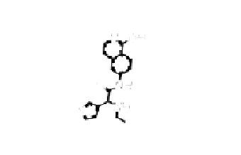 CCNC(C(=O)Nc1ccc2c(O)nccc2c1)c1ccsc1